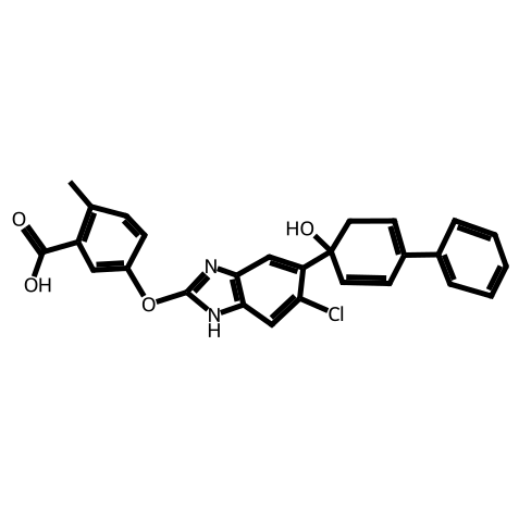 Cc1ccc(Oc2nc3cc(C4(O)C=CC(c5ccccc5)=CC4)c(Cl)cc3[nH]2)cc1C(=O)O